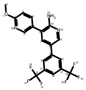 COc1ccc(-c2cc(-c3cc(C(F)(F)F)cc(C(F)(F)F)c3)cnc2N)cn1